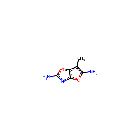 Cc1c(N)oc2nc(N)oc12